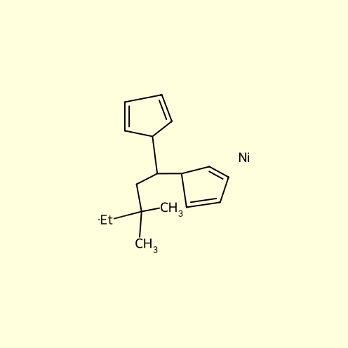 C[CH]C(C)(C)CC(C1C=CC=C1)C1C=CC=C1.[Ni]